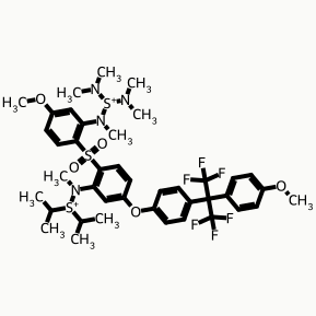 COc1ccc(C(c2ccc(Oc3ccc(S(=O)(=O)c4ccc(OC)cc4N(C)[S+](N(C)C)N(C)C)c(N(C)[S+](C(C)C)C(C)C)c3)cc2)(C(F)(F)F)C(F)(F)F)cc1